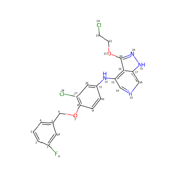 Fc1cccc(COc2ccc(Nc3cncc4[nH]nc(OCCCl)c34)cc2Cl)c1